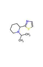 CC(C)N1CCCCC1c1nccs1